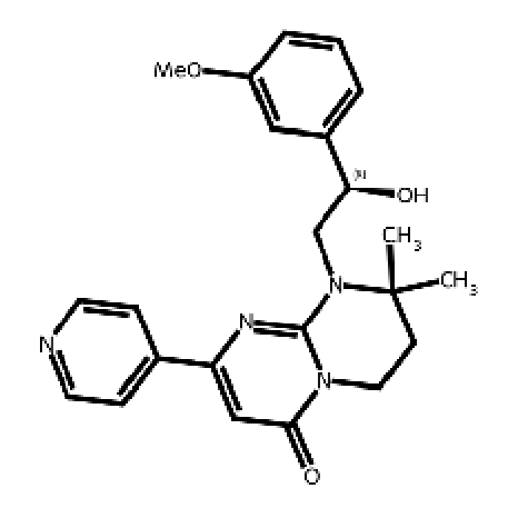 COc1cccc([C@@H](O)CN2c3nc(-c4ccncc4)cc(=O)n3CCC2(C)C)c1